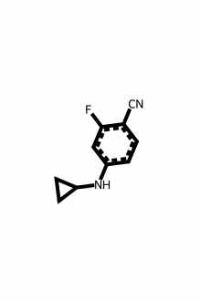 N#Cc1ccc(NC2CC2)cc1F